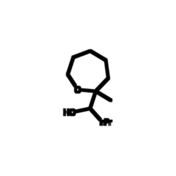 CCCC(O)C1(C)CCCCCO1